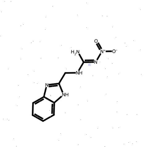 N/C(=N\[N+](=O)[O-])NCc1nc2ccccc2[nH]1